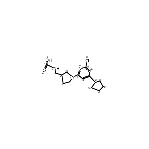 O=C(O)NCC1CCN(c2cc(C3CCCC3)nc(Cl)n2)C1